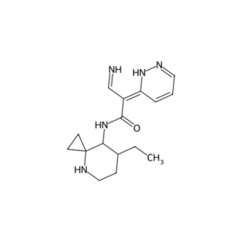 CCC1CCNC2(CC2)C1NC(=O)/C(C=N)=C1\C=CC=NN1